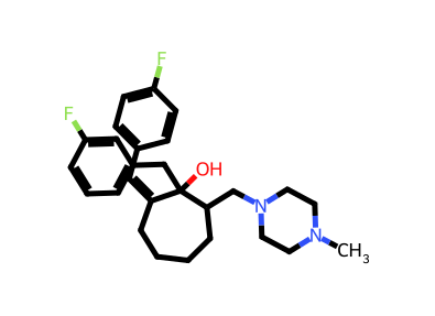 CN1CCN(CC2CCCCC(=Cc3ccc(F)cc3)C2(O)Cc2cccc(F)c2)CC1